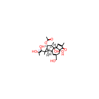 CC(=O)O[C@H]1C2[C@H]([C@@H]3C=C(CO)C[C@]4(O)C(=O)C(C)=C[C@H]4[C@@]3(O)[C@@H]1C)C2(C)/C(O)=C(\C)O